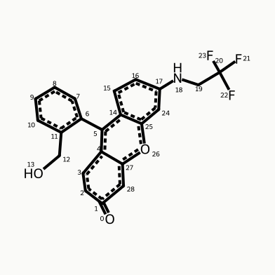 O=c1ccc2c(-c3ccccc3CO)c3ccc(NCC(F)(F)F)cc3oc-2c1